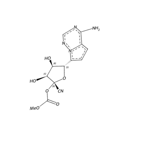 COC(=O)O[C@@]1(C#N)O[C@@H](c2ccc3c(N)ncnn23)[C@H](O)[C@@H]1O